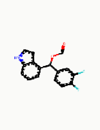 O=COC(c1ccc(F)c(F)c1)c1cccc2[nH]ccc12